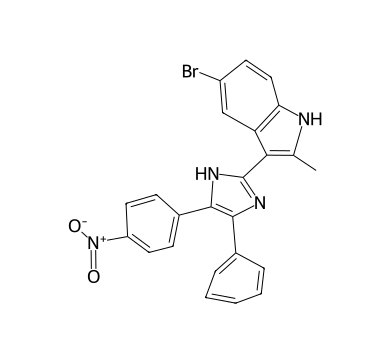 Cc1[nH]c2ccc(Br)cc2c1-c1nc(-c2ccccc2)c(-c2ccc([N+](=O)[O-])cc2)[nH]1